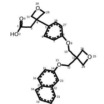 O=C(O)CC1(c2ccc(OCC3(COc4ccc5ccccc5c4)COC3)cc2)COC1